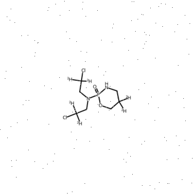 [2H]C([2H])(Cl)CN(CC([2H])([2H])Cl)P1(=O)NCC([2H])([2H])CO1